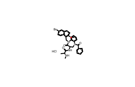 CNC(C)C(=O)NC1CN(C(=O)c2ccccc2)c2ccccc2N(Cc2c(OC)ccc3cc(Br)ccc23)C1=O.Cl